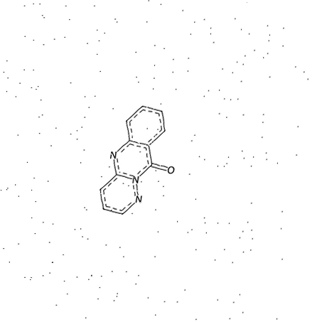 O=c1c2ccccc2nc2cccnn12